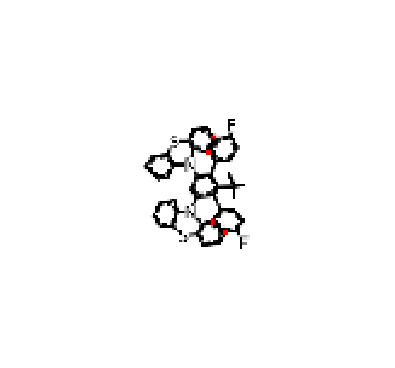 CC(C)(C)c1c(-c2ccc(F)cc2)c(N2c3ccccc3Sc3ccccc32)cc(N2c3ccccc3Sc3ccccc32)c1-c1ccc(F)cc1